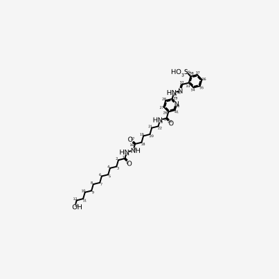 O=C(CCCCCCCCCCCO)NNC(=O)CCCCCNC(=O)c1ccc(N/N=C/c2ccccc2S(=O)(=O)O)nc1